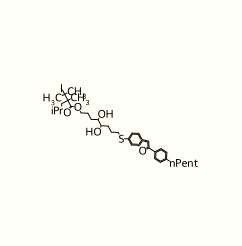 CCCCCc1ccc(-c2cc3ccc(SCCCC(O)C(O)CCCOC(=O)C(C)(CC(C)C)C(C)(C)I)cc3o2)cc1